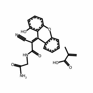 C=C(C)C(=O)O.N#CC(C(=O)NCC(N)=O)=C1c2ccccc2Oc2cccc(O)c21